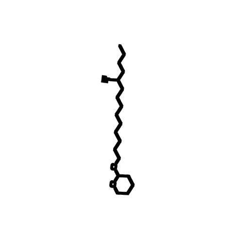 CCCCC(Br)CCCCCCCCCOC1CCCCO1